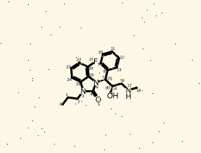 CCCn1c(=O)n([C@@H](c2ccccc2)[C@H](O)CNC)c2c(F)cccc21